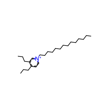 CCCCCCCCCCCCCC[n+]1ccc(CCC)c(CCC)c1